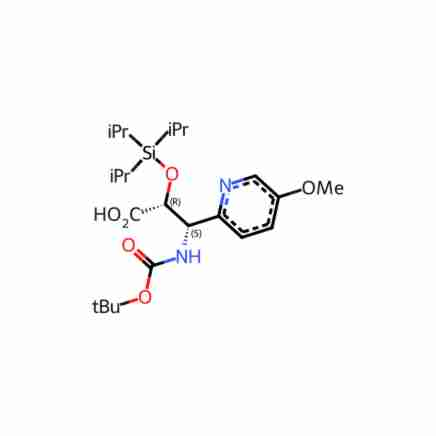 COc1ccc([C@H](NC(=O)OC(C)(C)C)[C@@H](O[Si](C(C)C)(C(C)C)C(C)C)C(=O)O)nc1